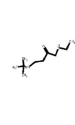 CCNCC(=O)CCNC(C)(C)C